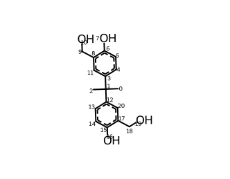 CC(C)(c1ccc(O)c(CO)c1)c1ccc(O)c(CO)c1